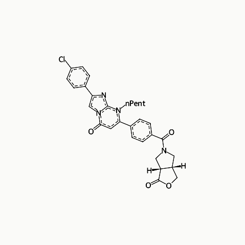 CCCCCn1c(-c2ccc(C(=O)N3C[C@@H]4COC(=O)[C@@H]4C3)cc2)cc(=O)n2cc(-c3ccc(Cl)cc3)nc12